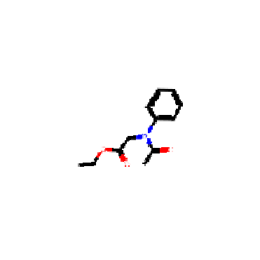 CCOC(=O)CN(C(C)=O)c1[c]cccc1